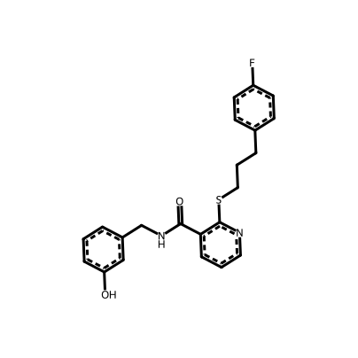 O=C(NCc1cccc(O)c1)c1cccnc1SCCCc1ccc(F)cc1